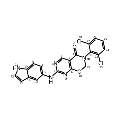 O=C1c2cnc(Nc3ccc4[nH]ccc4c3)nc2OCN1c1c(Cl)cccc1Cl